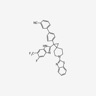 N#Cc1cccc(-c2ccc(C3(c4nc5cc(F)c(C(F)(F)F)cc5[nH]4)CC34CCN(c3nc5ccccc5s3)CC4)cc2)c1